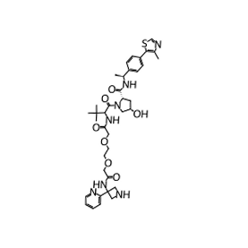 Cc1ncsc1-c1ccc([C@H](C)NC(=O)[C@@H]2C[C@@H](O)CN2C(=O)[C@@H](NC(=O)COCCOCC(=O)NC2(c3ccccn3)CNC2)C(C)(C)C)cc1